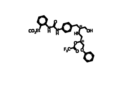 CCOC(=O)c1ccccc1NC(=O)Nc1ccc(C[C@@H](CO)NC[C@@H](COc2ccccc2)OC(=O)C(F)(F)F)cc1